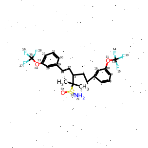 CC(C)(C(CCc1cccc(OC(F)(F)F)c1)CCc1cccc(OC(F)(F)F)c1)[S+](N)[O-]